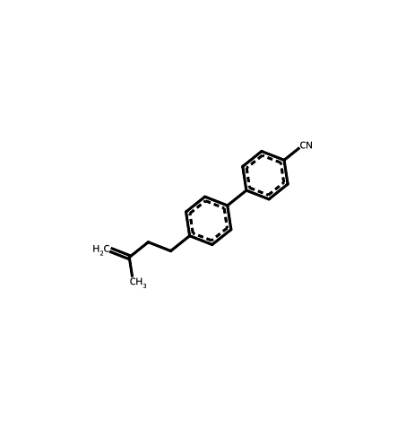 C=C(C)CCc1ccc(-c2ccc(C#N)cc2)cc1